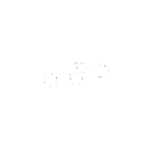 Fc1ccccc1Cc1cnc2c(-c3ccccc3Cl)n[nH]c2n1